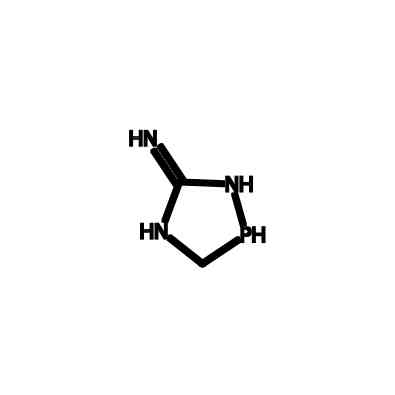 N=C1NCPN1